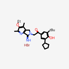 Br.CCOc1c(C)nc2c(c1C)CN(CC(=O)c1cc(C3CCCC3)c(O)c(C(C)(C)C)c1)C2=N